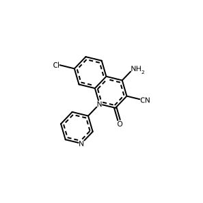 N#Cc1c(N)c2ccc(Cl)cc2n(-c2cccnc2)c1=O